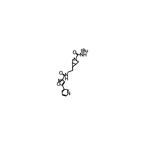 CC(C)(C)NC(=O)N1CC2C(CCNC(=O)c3cc(-c4cccnc4)on3)C2C1